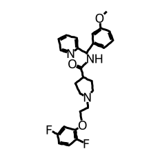 COc1cccc([C@@H](NC(=O)C2CCN(CCOc3cc(F)ccc3F)CC2)c2ccccn2)c1